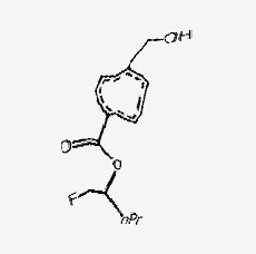 CCCC(F)OC(=O)c1ccc(CO)cc1